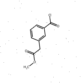 COC(=O)Cc1cccc(C(=O)Cl)c1